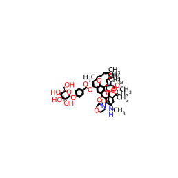 CNC12CC3C(C)(C)OC(C/C=C(/C)C(=O)OC)(C1=O)C31Oc3c(cc4c(c3CC=C(C)C)OC(C)(CCC=C(C)C)C=C4OC(=O)c3ccc(O[C@@H]4O[C@H](CO)[C@@H](O)[C@H](O)[C@H]4O)cc3)C(=O)C1C2N1CCOCC1